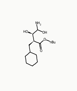 CCCCOC(=O)[C@@H](CC1CCCCC1)[C@@H](O)C(N)O